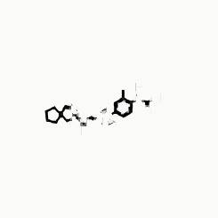 CCN(C=NS(=O)(=O)c1ccc(NC(=O)C(F)(F)F)c(C)c1)N1CC2(C=N1)CCCC2